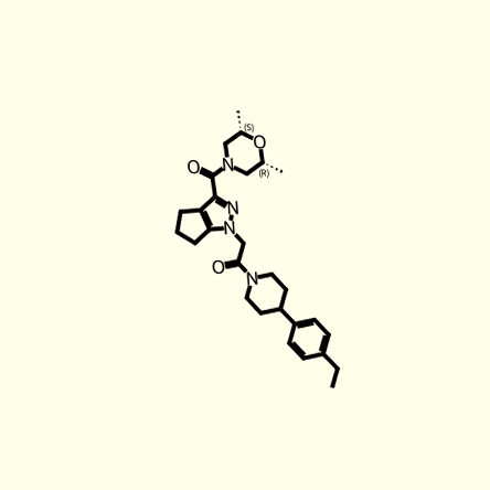 CCc1ccc(C2CCN(C(=O)Cn3nc(C(=O)N4C[C@@H](C)O[C@@H](C)C4)c4c3CCC4)CC2)cc1